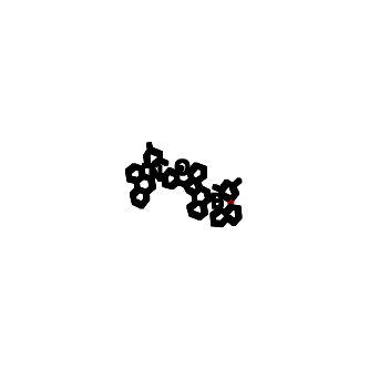 Cc1cc(C)c(B(c2cccc3ccccc23)c2cc3c4cccc5c4c(cc3c3ccccc23)-c2ccc(N(c3c(C)cc(C)cc3C)c3cc4ccccc4c4ccccc34)cc2O5)c(C)c1